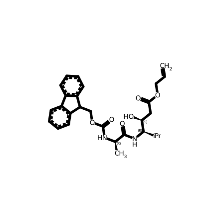 C=CCOC(=O)C[C@H](O)[C@H](NC(=O)[C@@H](C)NC(=O)OCC1c2ccccc2-c2ccccc21)C(C)C